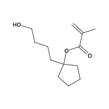 C=C(C)C(=O)OC1(CCCCO)CCCC1